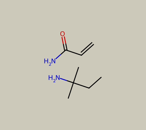 C=CC(N)=O.CCC(C)(C)N